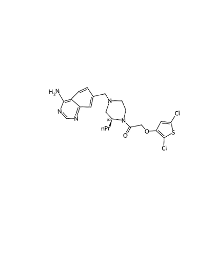 CCC[C@H]1CN(Cc2ccc3c(N)ncnc3c2)CCN1C(=O)COc1cc(Cl)sc1Cl